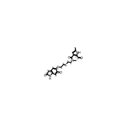 Cc1cc(C(=O)N(C)CCSCCOc2cc3c(cc2Cl)NC(=O)C3)c(C=O)[nH]1